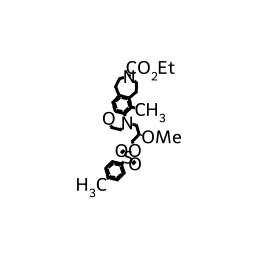 CCOC(=O)N1CCc2cc3c(c(C)c2CC1)N(C[C@@H](COS(=O)(=O)c1ccc(C)cc1)OC)CCO3